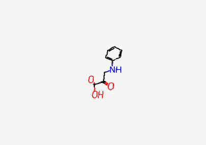 O=C(O)C(=O)CNc1ccccc1